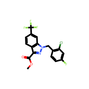 COC(=O)c1nn(Cc2ccc(F)cc2Cl)c2cc(C(F)(F)F)ccc12